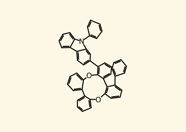 c1ccc(-c2cccc3c2-c2cccc(-c4ccc5c6ccccc6n(-c6ccccc6)c5c4)c2Oc2ccccc2-c2ccccc2O3)cc1